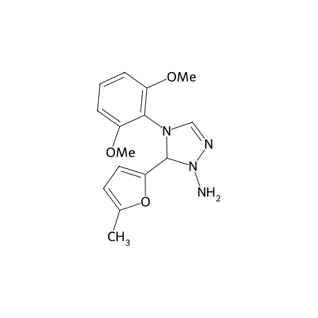 COc1cccc(OC)c1N1C=NN(N)C1c1ccc(C)o1